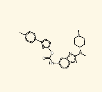 Cc1ccc(-c2ccc(OC(=O)Nc3ccc4oc(N(C)C5CCN(C)CC5)nc4c3)s2)cc1